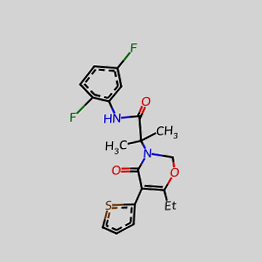 CCC1=C(c2cccs2)C(=O)N(C(C)(C)C(=O)Nc2cc(F)ccc2F)CO1